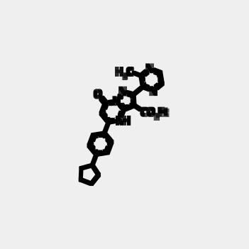 CCOC(=O)c1c(-c2nccnc2C)nn2c(=O)cc(-c3ccc(C4CCCC4)cc3)[nH]c12